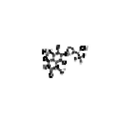 COc1c(N2CCC(C(O)C(F)(F)F)C2)c(F)c(N)c2c(=O)[nH]c(=O)n(C3CC3)c12